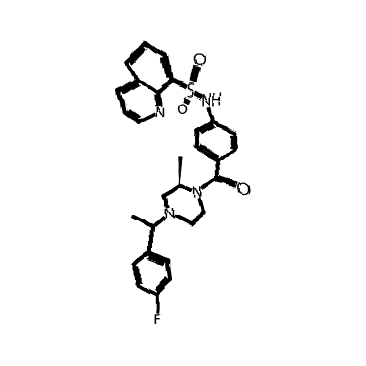 CC(c1ccc(F)cc1)N1CCN(C(=O)c2ccc(NS(=O)(=O)c3cccc4cccnc34)cc2)[C@H](C)C1